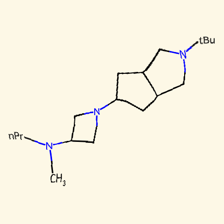 CCCN(C)C1CN(C2CC3CN(C(C)(C)C)CC3C2)C1